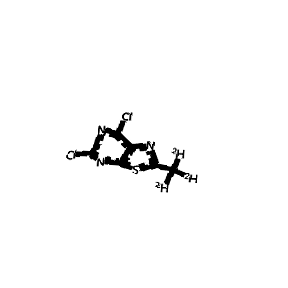 [2H]C([2H])([2H])c1nc2c(Cl)nc(Cl)nc2s1